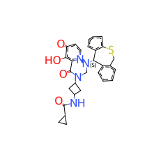 O=C(NC1CC(N2CN([C@H]3c4ccccc4CSc4ccccc43)n3ccc(=O)c(O)c3C2=O)C1)C1CC1